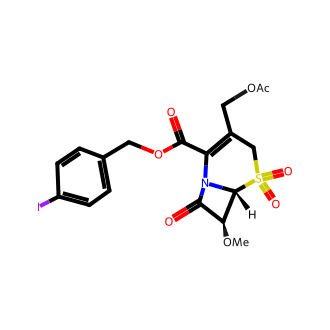 CO[C@H]1C(=O)N2C(C(=O)OCc3ccc(I)cc3)=C(COC(C)=O)CS(=O)(=O)[C@H]12